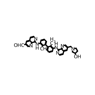 Cc1c(Nc2nccc3cc(C=O)cnc23)cccc1-c1cccc(Nc2nccc3cc(CN4CCC(O)C4)cnc23)c1C